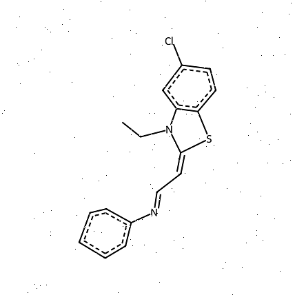 CCN1C(=CC=Nc2ccccc2)Sc2ccc(Cl)cc21